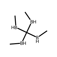 CBC(BC)(BC)BC